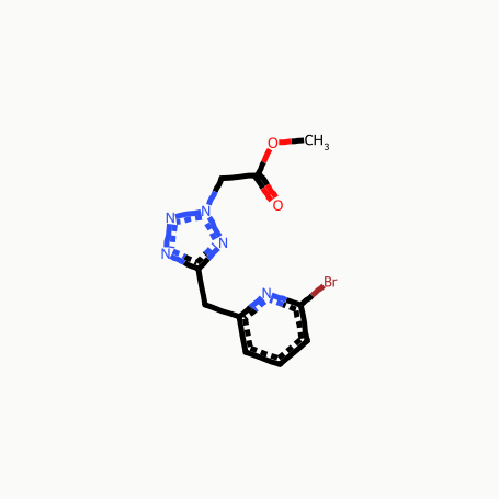 COC(=O)Cn1nnc(Cc2cccc(Br)n2)n1